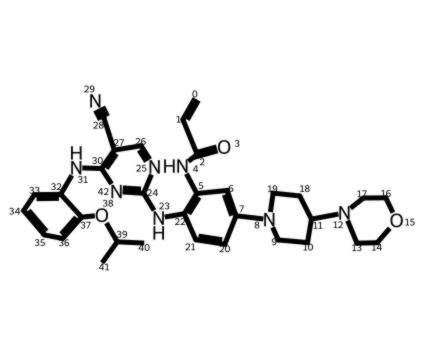 C=CC(=O)Nc1cc(N2CCC(N3CCOCC3)CC2)ccc1Nc1ncc(C#N)c(Nc2ccccc2OC(C)C)n1